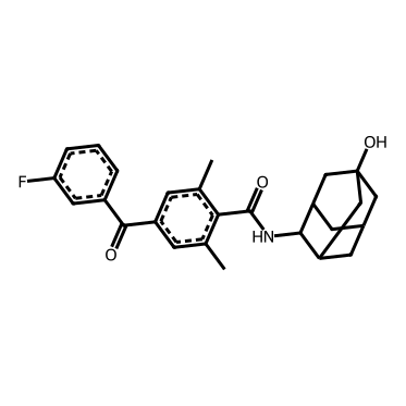 Cc1cc(C(=O)c2cccc(F)c2)cc(C)c1C(=O)NC1C2CC3CC1CC(O)(C3)C2